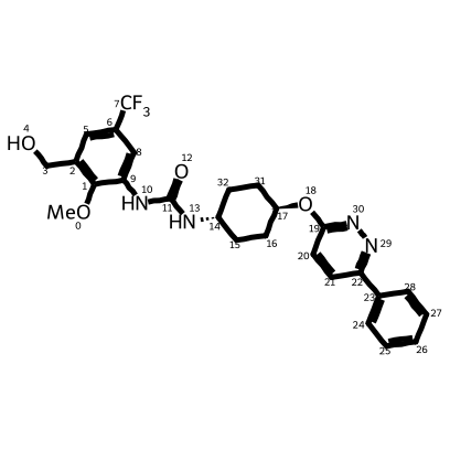 COc1c(CO)cc(C(F)(F)F)cc1NC(=O)N[C@H]1CC[C@H](Oc2ccc(-c3ccccc3)nn2)CC1